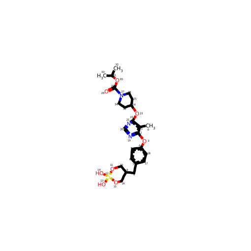 Cc1c(Oc2ccc(CC3COS(O)(O)OC3)cc2)ncnc1OC1CCN(C(=O)OC(C)C)CC1